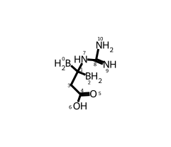 BC(B)(CC(=O)O)NC(=N)N